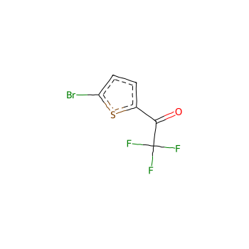 O=C(c1ccc(Br)s1)C(F)(F)F